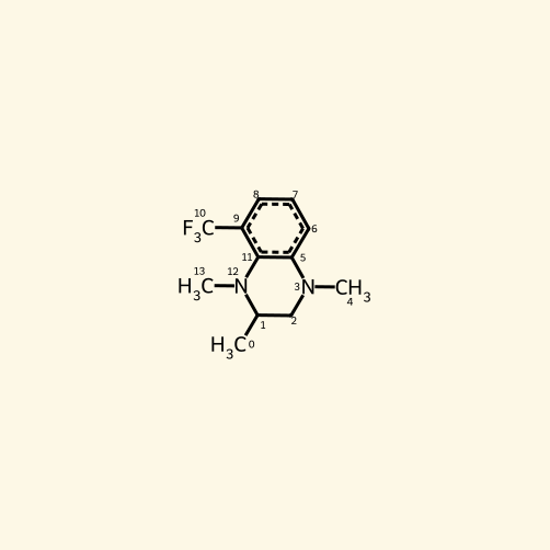 CC1CN(C)c2cccc(C(F)(F)F)c2N1C